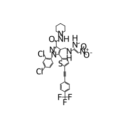 CN/C(=C\[N+](=O)[O-])NCc1c(C(=O)NN2CCCCC2)nn(-c2ccc(Cl)cc2Cl)c1-c1ccc(C#Cc2ccc(C(F)(F)F)cc2)s1